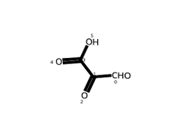 O=CC(=O)C(=O)O